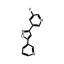 Fc1cncc(-c2cc(-c3cccnc3)on2)c1